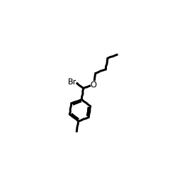 CCCCOC(Br)c1ccc(C)cc1